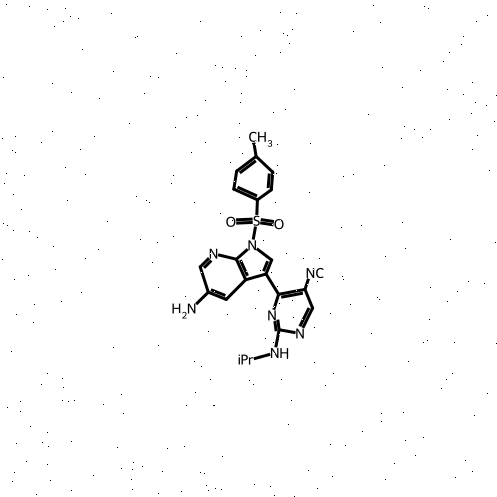 [C-]#[N+]c1cnc(NC(C)C)nc1-c1cn(S(=O)(=O)c2ccc(C)cc2)c2ncc(N)cc12